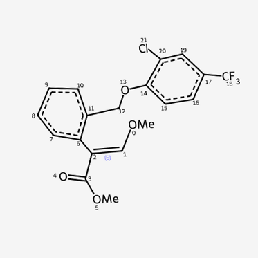 CO/C=C(/C(=O)OC)c1ccccc1COc1ccc(C(F)(F)F)cc1Cl